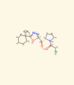 CC1(c2nnc(C(=O)[C@@H]3CCCN3C(=O)CBr)o2)CCCCC1